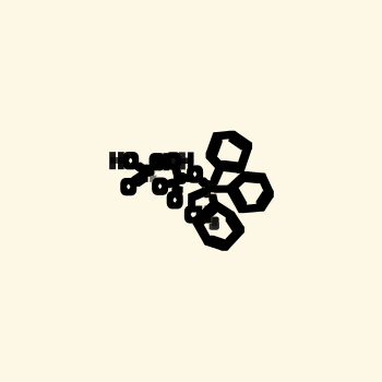 CCP(OP(=O)(O)OP(=O)(O)O)(c1ccccc1)(c1ccccc1)c1ccccc1